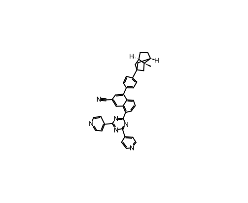 C[C@@]12CC3(c4ccc(-c5cc(C#N)cc6c(-c7nc(-c8ccncc8)nc(-c8ccncc8)n7)cccc56)cc4)C[C@H]1CC[C@H]2C3